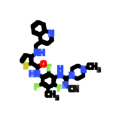 Cc1c(F)c(NC(=O)c2sccc2NCc2ccnc3ccccc23)c(F)c(NC(=NC#N)N2CCN(C)CC2)c1F